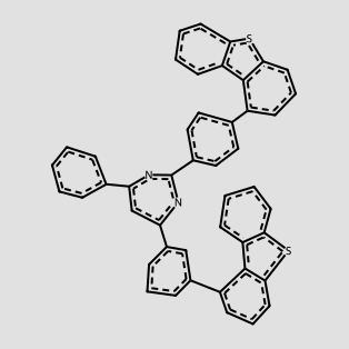 c1ccc(-c2cc(-c3cccc(-c4cccc5sc6ccccc6c45)c3)nc(-c3ccc(-c4cccc5sc6ccccc6c45)cc3)n2)cc1